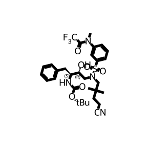 CN(C(=O)C(F)(F)F)c1cccc(S(=O)(=O)N(C[C@@H](O)[C@H](Cc2ccccc2)NC(=O)OC(C)(C)C)CC(C)(C)CCC#N)c1